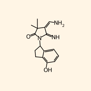 CC1(C)C(=O)N(C2CCc3c(O)cccc32)C(=N)/C1=C\N